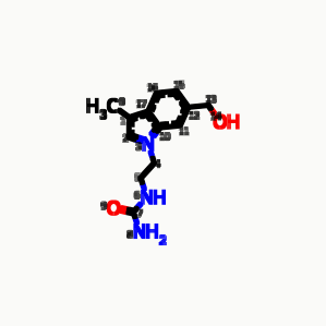 Cc1cn(CCNC(N)=O)c2cc(CO)ccc12